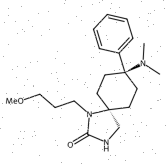 COCCCN1C(=O)NC[C@]12CC[C@](c1ccccc1)(N(C)C)CC2